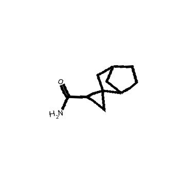 NC(=O)C1CC12CC1CCC2C1